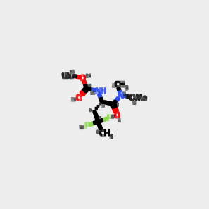 CON(C)C(=O)[C@H](CC(C)(F)F)NC(=O)OC(C)(C)C